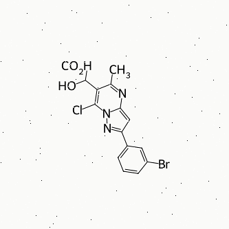 Cc1nc2cc(-c3cccc(Br)c3)nn2c(Cl)c1C(O)C(=O)O